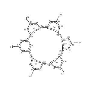 Ic1cc2cc(c1)c1cc(I)cc(c1)c1cc(I)cc(c1)c1cc(I)cc(c1)c1cc(I)cc(c1)c1cc(I)cc2c1